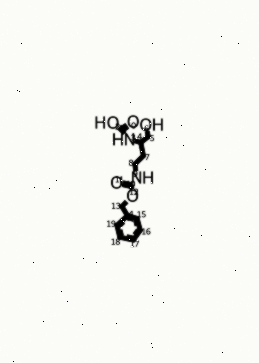 O=C(O)NC(CO)CCNC(=O)OCc1ccccc1